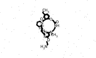 CCc1ccc2c(c1)C(=O)N1CCCC[C@H]1c1cc3nc(OCCN)cc(n3n1)N(C)CCNC(=O)CO2